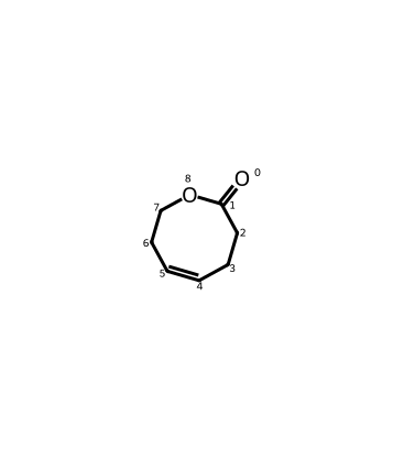 O=C1CC/C=C\CCO1